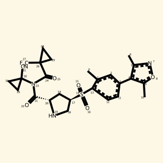 Cc1cc(-c2c(C)noc2C)ccc1S(=O)(=O)[C@H]1CN[C@H](C(=O)N(C(=O)C2(C(F)(F)F)CC2)C2(C#N)CC2)C1